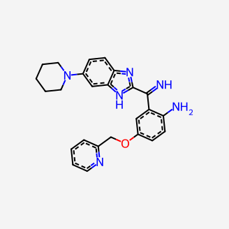 N=C(c1nc2ccc(N3CCCCC3)cc2[nH]1)c1cc(OCc2ccccn2)ccc1N